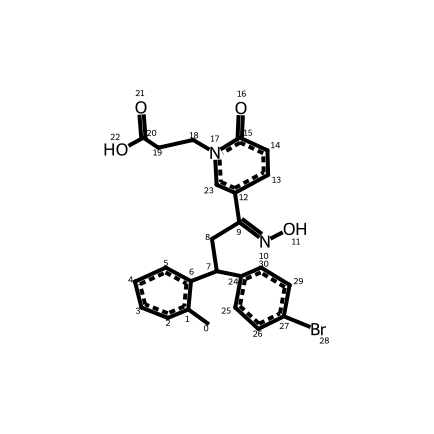 Cc1ccccc1C(CC(=NO)c1ccc(=O)n(CCC(=O)O)c1)c1ccc(Br)cc1